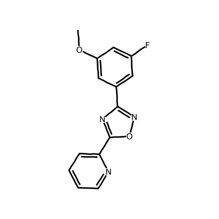 COc1cc(F)cc(-c2noc(-c3ccccn3)n2)c1